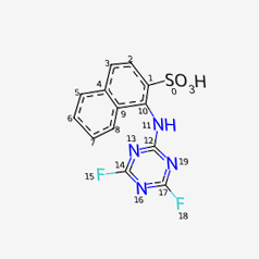 O=S(=O)(O)c1ccc2ccccc2c1Nc1nc(F)nc(F)n1